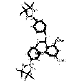 COc1cc(OC)c(C(Oc2ccc(B3OC(C)(C)C(C)(C)O3)cc2)Oc2ccc(B3OC(C)(C)C(C)(C)O3)cc2)c(OC)c1